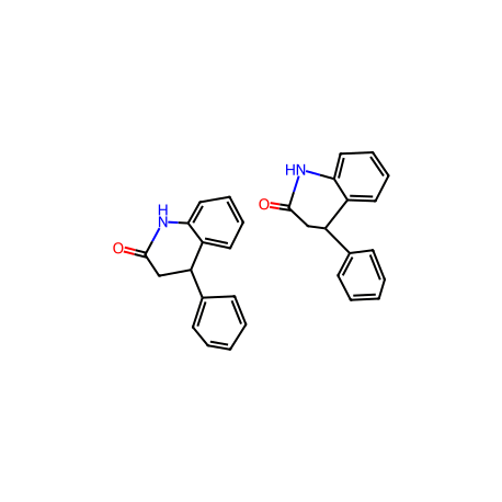 O=C1CC(c2ccccc2)c2ccccc2N1.O=C1CC(c2ccccc2)c2ccccc2N1